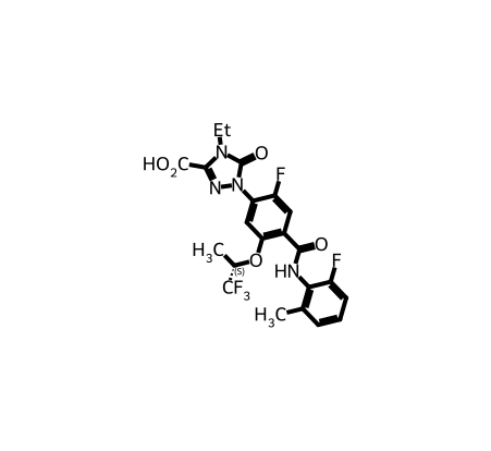 CCn1c(C(=O)O)nn(-c2cc(O[C@@H](C)C(F)(F)F)c(C(=O)Nc3c(C)cccc3F)cc2F)c1=O